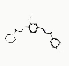 COc1cc(/C=C/C(=O)c2ccc(O)cc2)ccc1OCC(=O)N1CCOCC1